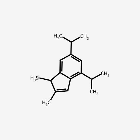 CC1=Cc2c(C(C)C)cc(C(C)C)cc2C1[SiH3]